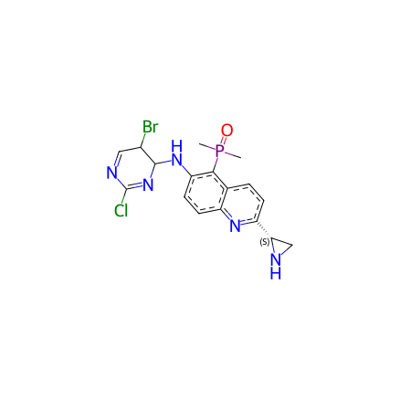 CP(C)(=O)c1c(NC2N=C(Cl)N=CC2Br)ccc2nc([C@@H]3CN3)ccc12